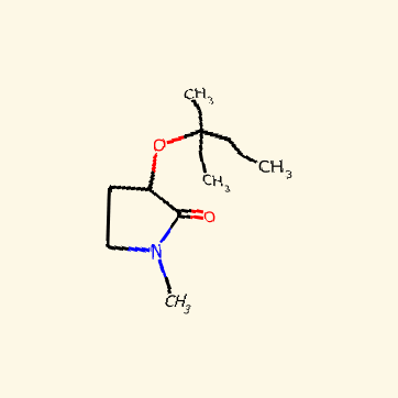 CCC(C)(C)OC1CCN(C)C1=O